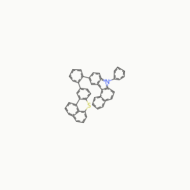 c1ccc(-n2c3ccc(-c4ccccc4-c4ccc5c(c4)-c4cccc6cccc(c46)S5)cc3c3c4ccccc4ccc32)cc1